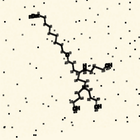 CCCCCCCCCCCCCCCCCCOCCCC(CCN(CCCO)CCCO)NCCCO